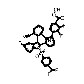 COC(=O)c1ccc(-c2cccc(-c3c(-c4c(C#N)cccc4C#N)c4cc(F)ccc4n3S(=O)(=O)c3ccc(C(F)F)cc3)c2)c(F)c1F